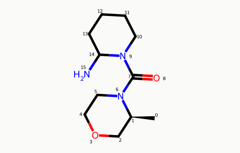 C[C@H]1COCCN1C(=O)N1CCCCC1N